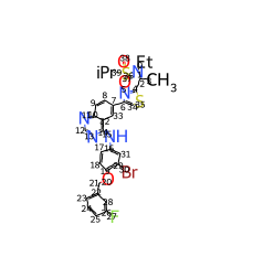 CCN(C(C)c1nc(-c2ccc3ncnc(Nc4ccc(OCc5cccc(F)c5)c(Br)c4)c3c2)cs1)S(=O)(=O)C(C)C